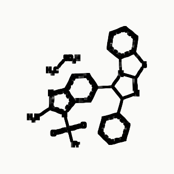 CC(C)S(=O)(=O)n1c(N)nc2ccc(C3C(c4ccccc4)N=C4Sc5ccccc5N43)cc21.CS(=O)(=O)O